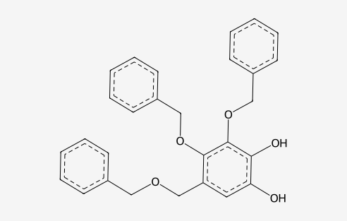 Oc1cc(COCc2ccccc2)c(OCc2ccccc2)c(OCc2ccccc2)c1O